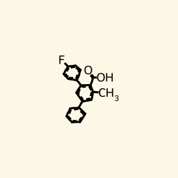 Cc1cc(-c2ccccc2)cc(-c2ccc(F)cc2)c1C(=O)O